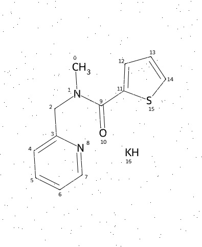 CN(Cc1ccccn1)C(=O)c1cccs1.[KH]